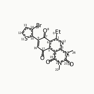 CCc1nc2c(c3c1C(=O)C(c1sccc1Br)=CC3=O)c(=O)n(C)c(=O)n2C